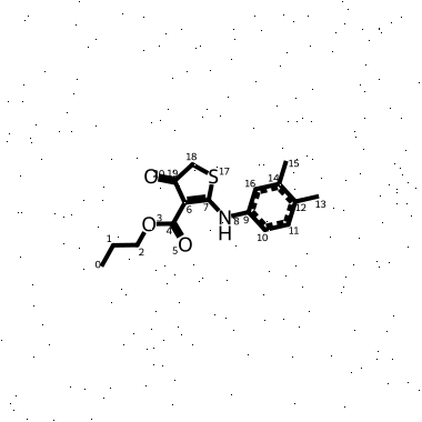 CCCOC(=O)C1=C(Nc2ccc(C)c(C)c2)SCC1=O